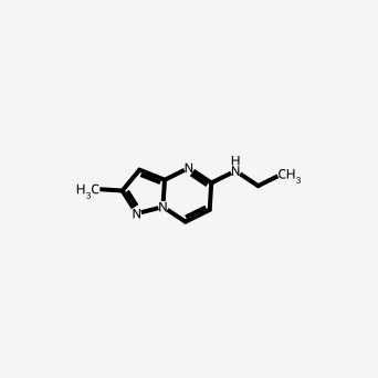 CCNc1ccn2nc(C)cc2n1